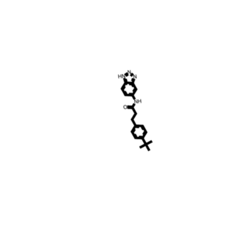 CC(C)(C)c1ccc(CCC(=O)Nc2ccc3[nH]nnc3c2)cc1